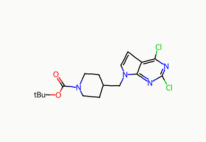 CC(C)(C)OC(=O)N1CCC(Cn2ccc3c(Cl)nc(Cl)nc32)CC1